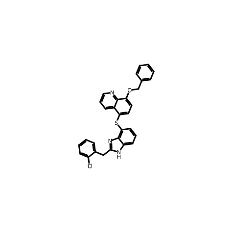 Clc1ccccc1Cc1nc2c(Sc3ccc(OCc4ccccc4)c4ncccc34)cccc2[nH]1